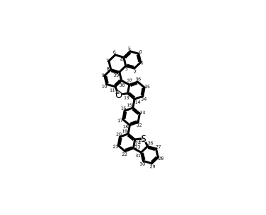 c1ccc2c(c1)CCc1ccc3oc4c(-c5ccc(-c6cccc7c6sc6ccccc67)cc5)cccc4c3c1-2